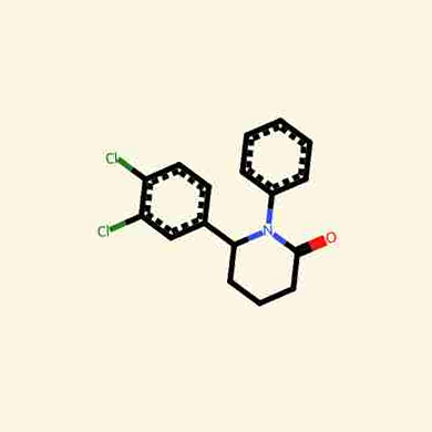 O=C1CCCC(c2ccc(Cl)c(Cl)c2)N1c1ccccc1